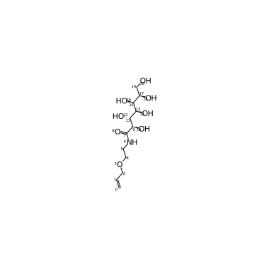 C=CCOCCNC(=O)[C@H](O)[C@H](O)[C@H](O)[C@@H](O)[C@H](O)CO